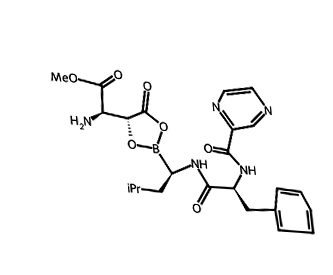 COC(=O)[C@H](N)[C@H]1OB([C@H](CC(C)C)NC(=O)[C@H](Cc2ccccc2)NC(=O)c2cnccn2)OC1=O